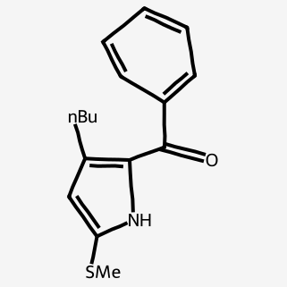 CCCCc1cc(SC)[nH]c1C(=O)c1ccccc1